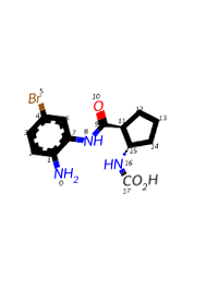 Nc1ccc(Br)cc1NC(=O)[C@H]1CCC[C@@H]1NC(=O)O